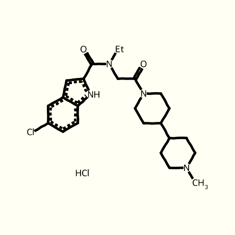 CCN(CC(=O)N1CCC(C2CCN(C)CC2)CC1)C(=O)c1cc2cc(Cl)ccc2[nH]1.Cl